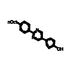 CCCCCCCCc1ccc(-c2ncc(-c3ccc(O)cc3)cn2)cc1